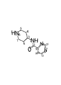 O=C(NC1CCNCC1)c1ccncn1